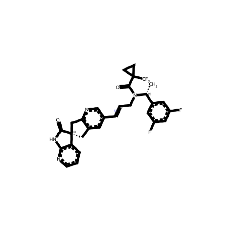 C[C@H](c1cc(F)cc(F)c1)N(C/C=C/c1cnc2c(c1)C[C@@]1(C2)C(=O)Nc2ncccc21)C(=O)C1(C(F)(F)F)CC1